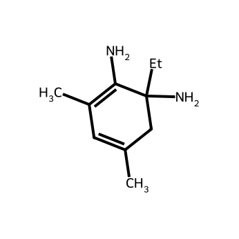 CCC1(N)CC(C)=CC(C)=C1N